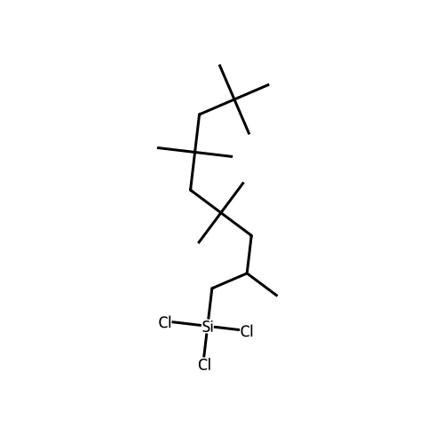 CC(CC(C)(C)CC(C)(C)CC(C)(C)C)C[Si](Cl)(Cl)Cl